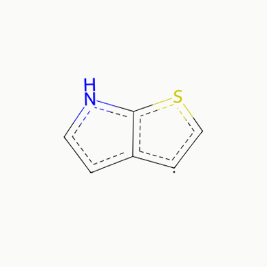 [c]1csc2[nH]ccc12